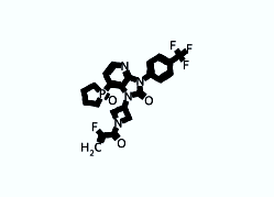 C=C(F)C(=O)N1CC(n2c(=O)n(-c3ccc(C(F)(F)F)cc3)c3nccc(P4(=O)CCCC4)c32)C1